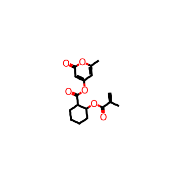 C=C(C)C(=O)OC1CCCCC1C(=O)Oc1cc(C)oc(=O)c1